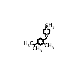 Cc1cc(C(C)C)ccc1CN1CCN(C)CC1